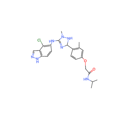 Cc1cc(OCC(=O)NC(C)C)ccc1C1N=C(Nc2ccc3[nH]ncc3c2Cl)N(C)N1